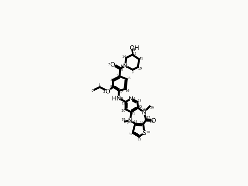 CCOc1cc(C(=O)N2CCC[C@H](O)C2)ccc1Nc1cc2c(cn1)N(C)C(=O)c1sccc1N2C